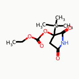 CCOC(=O)OC1([Si](C)(C)C)CC(=O)NC1=O